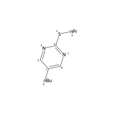 CCCCc1cnc(SCCC)nc1